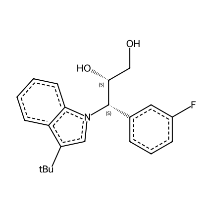 CC(C)(C)c1cn([C@@H](c2cccc(F)c2)[C@H](O)CO)c2ccccc12